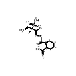 C=C[C@](F)(C(F)COC(=O)C1CCCCC1C(=O)O)S(=O)(=O)O